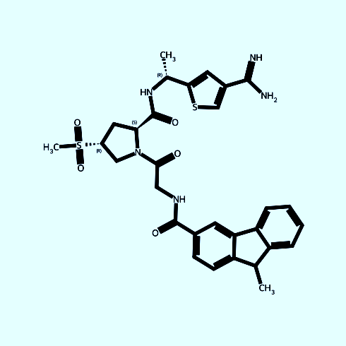 CC1c2ccccc2-c2cc(C(=O)NCC(=O)N3C[C@H](S(C)(=O)=O)C[C@H]3C(=O)N[C@H](C)c3cc(C(=N)N)cs3)ccc21